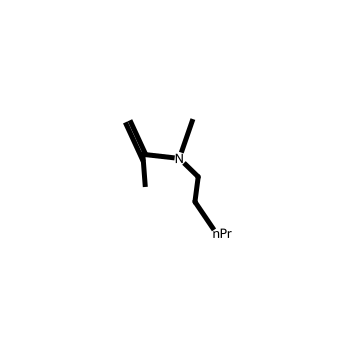 C=C(C)N(C)CCCCC